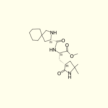 COC(=O)[C@H](C[C@@H]1CC(C)(C)NC1=O)NC(=O)[C@@H]1CC2(CCCCC2)CN1